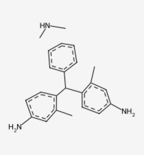 CNC.Cc1cc(N)ccc1C(c1ccccc1)c1ccc(N)cc1C